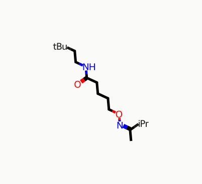 C/C(=N/OCCCCC(=O)NCCC(C)(C)C)C(C)C